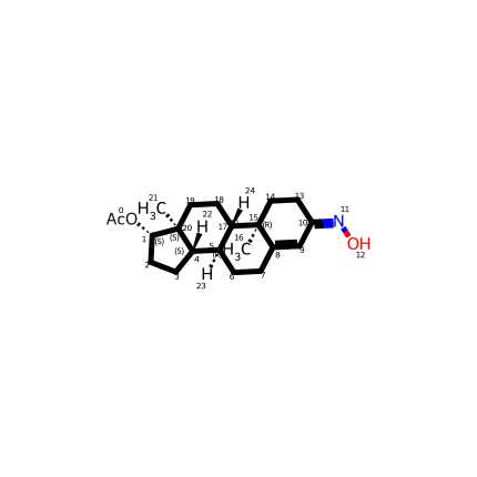 CC(=O)O[C@H]1CC[C@H]2[C@@H]3CCC4=CC(=NO)CC[C@]4(C)[C@H]3CC[C@]12C